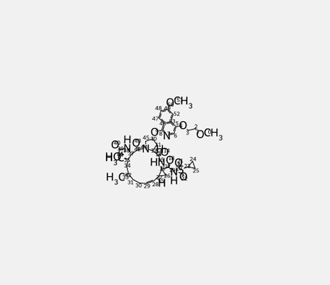 COCCOc1cnc(O[C@@H]2C[C@H]3C(=O)N[C@]4(C(=O)NS(=O)(=O)C5CC5)C[C@H]4C=CCC[C@@H](C)C[C@@H](C)[C@H](NC(=O)O)C(=O)N3C2)c2ccc(OC)cc12